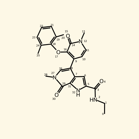 CCNC(=O)c1cc2c(-c3ccn(C)c(=O)c3Oc3c(C)cccc3C)cn(C)c(=O)c2[nH]1